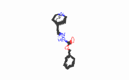 O=C(N/N=C/C12CCN(CC1)CC2)OCc1ccccc1